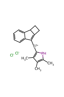 Cc1[pH][c]([Ti+2][C]2=C3CCC3c3ccccc32)c(C)c1C.[Cl-].[Cl-]